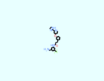 NCc1cc(NC(=O)CCc2cccc(Oc3ccnc(C4=NCCN4)c3)c2)cc(C(F)(F)F)c1